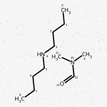 CCCCNCCCC.CN(C)C=O